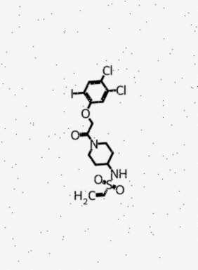 C=CS(=O)(=O)NC1CCN(C(=O)COc2cc(Cl)c(Cl)cc2I)CC1